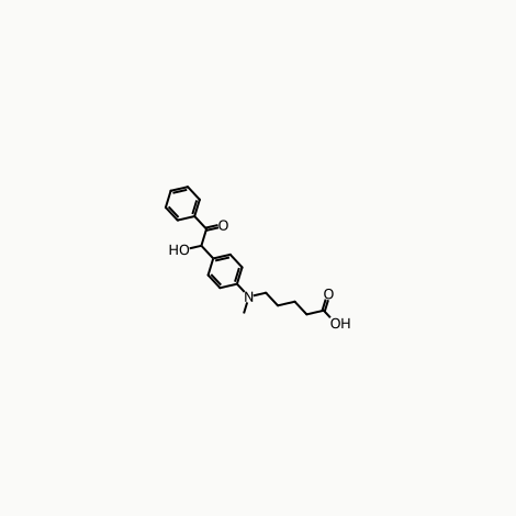 CN(CCCCC(=O)O)c1ccc(C(O)C(=O)c2ccccc2)cc1